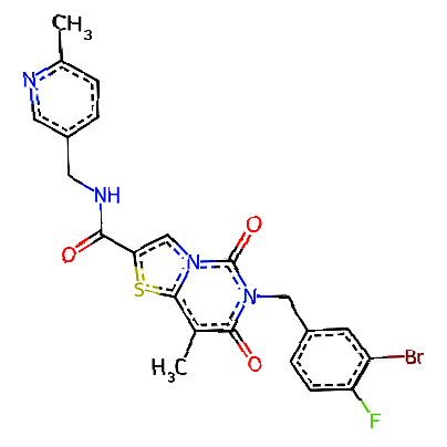 Cc1ccc(CNC(=O)c2cn3c(=O)n(Cc4ccc(F)c(Br)c4)c(=O)c(C)c3s2)cn1